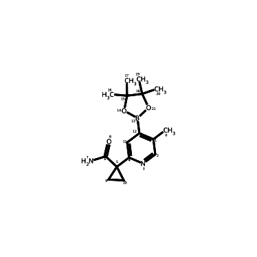 Cc1cnc(C2(C(N)=O)CC2)cc1B1OC(C)(C)C(C)(C)O1